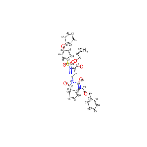 C=CCOC(=O)C(CCn1c(=O)c2ccccc2n(COCc2ccccc2)c1=O)NS(=O)(=O)c1ccc(Oc2ccccc2)cc1